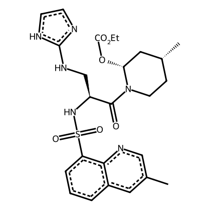 CCOC(=O)O[C@@H]1C[C@H](C)CCN1C(=O)[C@H](CNc1ncc[nH]1)NS(=O)(=O)c1cccc2cc(C)cnc12